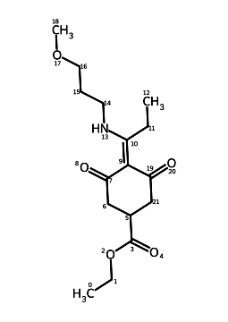 CCOC(=O)C1CC(=O)C(=C(CC)NCCCOC)C(=O)C1